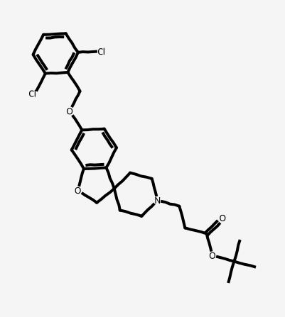 CC(C)(C)OC(=O)CCN1CCC2(CC1)COc1cc(OCc3c(Cl)cccc3Cl)ccc12